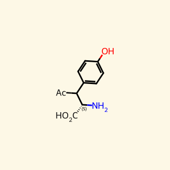 CC(=O)C(c1ccc(O)cc1)[C@H](N)C(=O)O